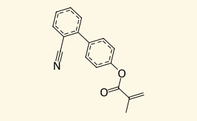 C=C(C)C(=O)Oc1ccc(-c2ccccc2C#N)cc1